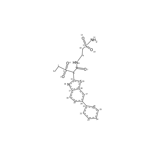 CCS(=O)(=O)C(C(=O)NCCS(N)(=O)=O)c1nc2ccc(-c3ccccc3)cc2s1